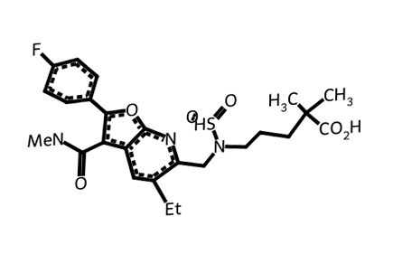 CCc1cc2c(C(=O)NC)c(-c3ccc(F)cc3)oc2nc1CN(CCCC(C)(C)C(=O)O)[SH](=O)=O